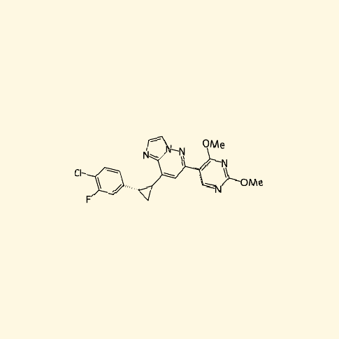 COc1ncc(-c2cc(C3C[C@@H]3c3ccc(Cl)c(F)c3)c3nccn3n2)c(OC)n1